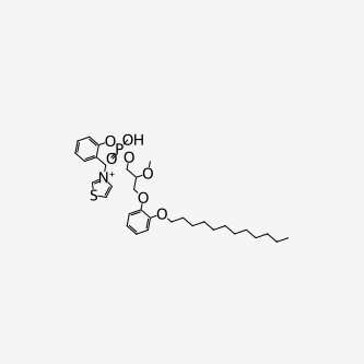 CCCCCCCCCCCCOc1ccccc1OCC(COP(=O)(O)Oc1ccccc1C[n+]1ccsc1)OC